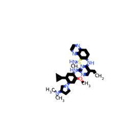 C=Cc1cnc(Nc2cc(C3CC3)c(N3CCC(N(C)C)C3)cc2OC)nc1Nc1ccc2nccnc2c1SNC